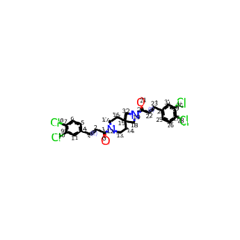 O=C(/C=C/c1ccc(Cl)c(Cl)c1)N1CCC2(CC1)CN(C(=O)/C=C/c1ccc(Cl)c(Cl)c1)C2